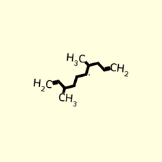 C=CCC(C)[CH]CCC(C)C=C